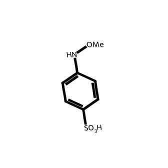 CONc1ccc(S(=O)(=O)O)cc1